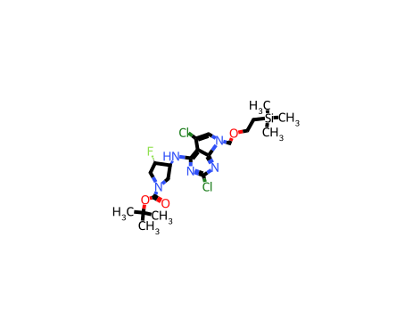 CC(C)(C)OC(=O)N1C[C@H](Nc2nc(Cl)nc3c2c(Cl)cn3COCC[Si](C)(C)C)[C@@H](F)C1